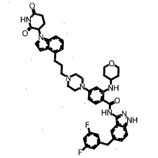 O=C1CCC(n2ccc3c(CCCN4CCN(c5ccc(C(=O)Nc6n[nH]c7ccc(Cc8cc(F)cc(F)c8)cc67)c(NC6CCOCC6)c5)CC4)cccc32)C(=O)N1